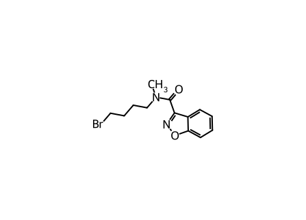 CN(CCCCBr)C(=O)c1noc2ccccc12